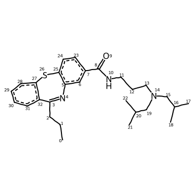 CCCC1=Nc2cc(C(=O)NCCCN(CC(C)C)CC(C)C)ccc2Sc2ccccc21